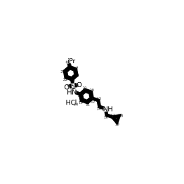 CC(C)c1ccc(S(=O)(=O)Nc2ccc(CCNCC3CC3)cc2)cc1.Cl